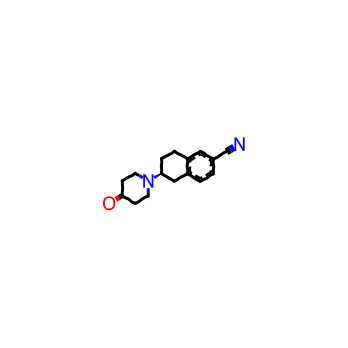 N#Cc1ccc2c(c1)CC[C@H](N1CCC(=O)CC1)C2